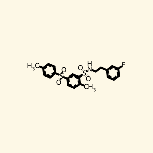 Cc1ccc(S(=O)(=O)c2ccc(C)c(S(=O)(=O)NCCc3cccc(F)c3)c2)cc1